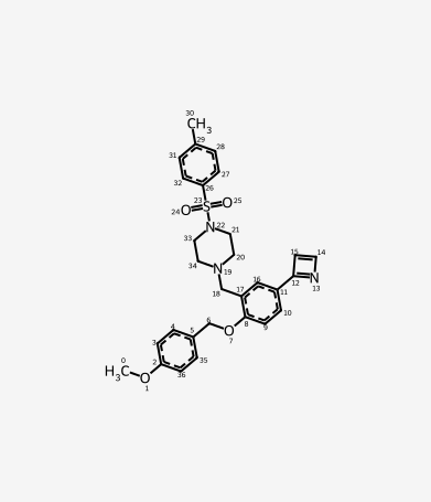 COc1ccc(COc2ccc(C3=NC=C3)cc2CN2CCN(S(=O)(=O)c3ccc(C)cc3)CC2)cc1